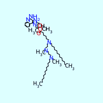 CCCCCCCCCCCCCN(CC)CCCN(C)CCCN(CCCCCCCCCCCCC)CCCCCC(=O)OC(C)(C)Cn1c(COCC)nc2c(N)nc3ccccc3c21